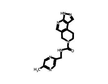 Cc1cnc(CNC(=O)N2CCc3c(cnc4[nH]ncc34)C2)cn1